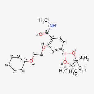 CNC(=O)c1ccc(B2OC(C)(C)C(C)(C)O2)cc1OCCOC1CCCCC1